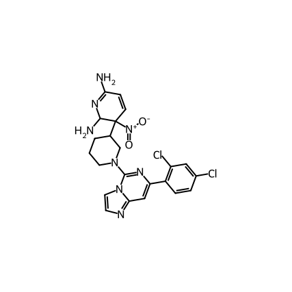 NC1=NC(N)C(C2CCCN(c3nc(-c4ccc(Cl)cc4Cl)cc4nccn34)C2)([N+](=O)[O-])C=C1